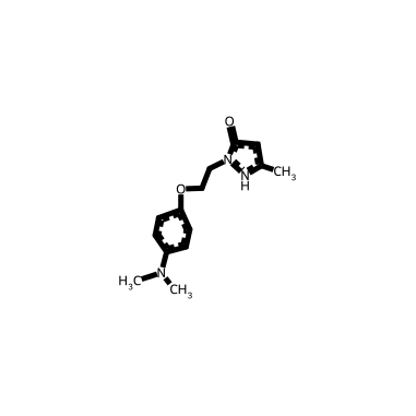 Cc1cc(=O)n(CCOc2ccc(N(C)C)cc2)[nH]1